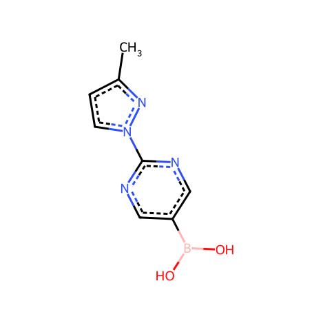 Cc1ccn(-c2ncc(B(O)O)cn2)n1